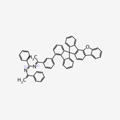 C=C(/N=C(\N=C(/C)c1cccc(-c2cccc3c2-c2ccccc2C32c3ccccc3-c3c2ccc2c3oc3ccccc32)c1)c1ccccc1)c1ccccc1